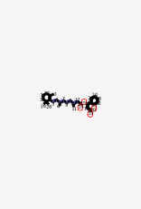 CC1=C(/C=C/C(C)=C/C=C/C(C)=C/C(=O)Oc2cc(=O)oc3ccccc23)C(C)(C)CCC1